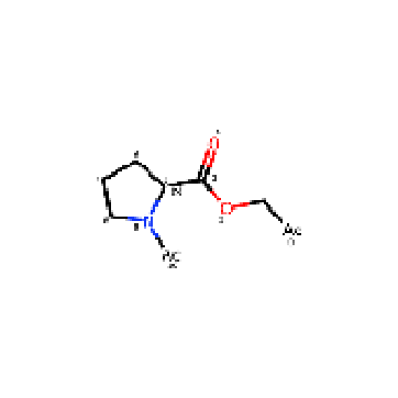 CC(=O)COC(=O)[C@@H]1CCCN1C(C)=O